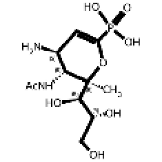 CC(=O)N[C@@H]1[C@@H](N)C=C(P(=O)(O)O)O[C@@]1(C)[C@H](O)[C@H](O)CO